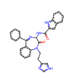 O=C(NC1N=C(c2ccccc2)c2ccccc2N(CCc2c[nH]cn2)C1=O)c1cc2ccccc2[nH]1